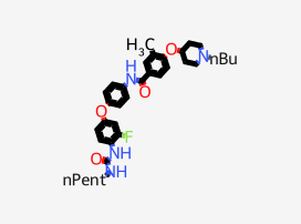 CCCCCNC(=O)Nc1ccc(Oc2ccc(NC(=O)c3ccc(OC4CCN(CCCC)CC4)c(C)c3)cc2)cc1F